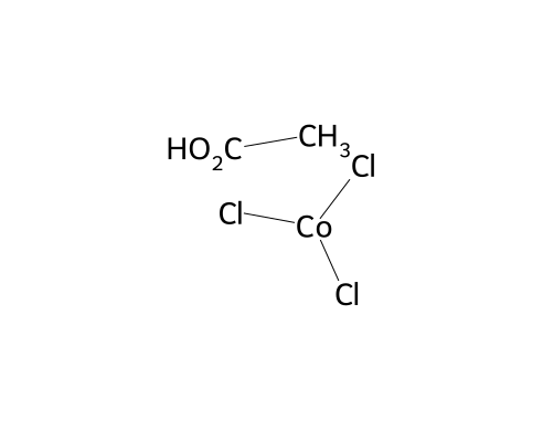 CC(=O)O.[Cl][Co]([Cl])[Cl]